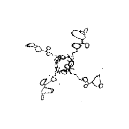 C[Si]1(CCCOC(=O)C2CCC3OC3C2)O[Si](C)(CCCOC(=O)C2CCC3OC3C2)O[Si](C)(CCCOC(=O)C2CCC3OC3C2)O[Si](C)(CCCOC(=O)C2CCC3OC3C2)O1